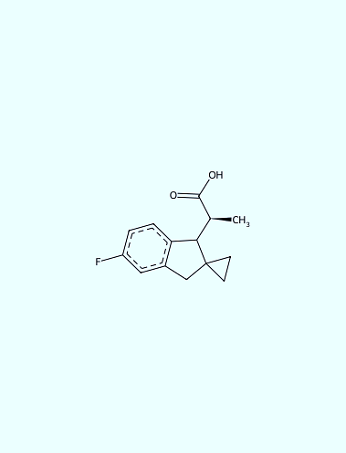 C[C@H](C(=O)O)C1c2ccc(F)cc2CC12CC2